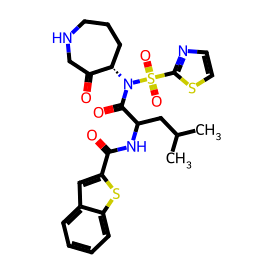 CC(C)CC(NC(=O)c1cc2ccccc2s1)C(=O)N([C@H]1CCCNCC1=O)S(=O)(=O)c1nccs1